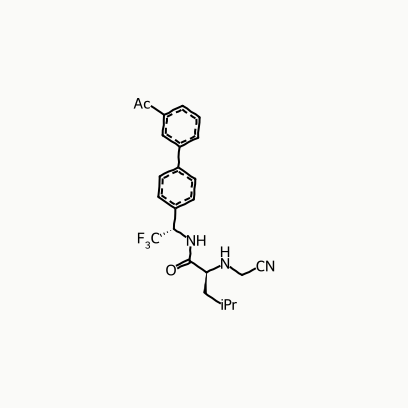 CC(=O)c1cccc(-c2ccc([C@H](NC(=O)[C@H](CC(C)C)NCC#N)C(F)(F)F)cc2)c1